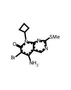 CSc1ncc2c(N)c(Br)c(=O)n(C3CCC3)c2n1